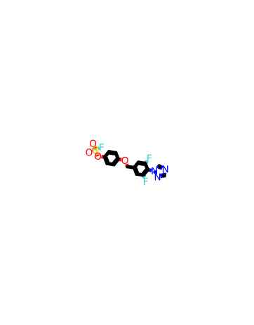 O=S(=O)(F)Oc1ccc(OCc2cc(F)c(-n3cncn3)c(F)c2)cc1